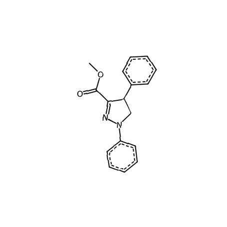 COC(=O)C1=NN(c2ccccc2)CC1c1ccccc1